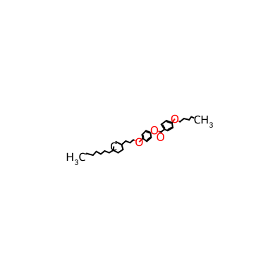 CCCCCCCC1CCC(CCCOc2ccc(OC(=O)c3ccc(OCCCCC)cc3)cc2)CC1